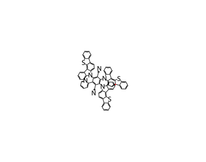 N#Cc1c(-c2ccccn2)c(-n2c3ccccc3c3c4sc5ccccc5c4ccc32)c(C#N)c(-n2c3ccccc3c3c4sc5ccccc5c4ccc32)c1-n1c2ccccc2c2c3sc4ccccc4c3ccc21